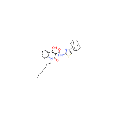 CCCCCCCn1c(=O)c(C(=O)Nc2nc(C34CC5CC(CC(C5)C3)C4)cs2)c(O)c2ccccc21